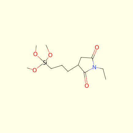 CCN1C(=O)CC(CCC[Si](OC)(OC)OC)C1=O